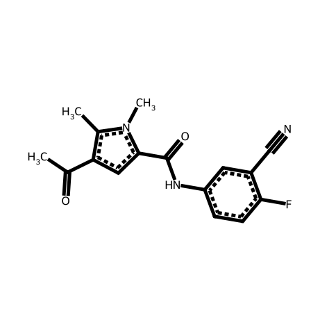 CC(=O)c1cc(C(=O)Nc2ccc(F)c(C#N)c2)n(C)c1C